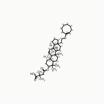 CC(C)(CC(=O)O[C@H]1CC[C@@]2(C)C(CC[C@]3(C)C2CC[C@@H]2[C@H]4CCC[C@]4(CCO/C4=C/CCCCCC4)CC[C@]23C)C1(C)C)C(=O)O